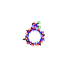 C/C=C/C[C@@H](C)[C@@H](O)[C@@H]1C(=O)N[C@@H](CC)C(=O)N(C)CC(=O)N(C)[C@H](CC(C)C)C(=O)N[C@@H](C(C)C)C(=O)N(C)[C@H](CC(C)C)C(=O)N[C@H](C)C(=O)N[C@H](C)C(=O)N(C)[C@H](CC(C)C)C(=O)N(C)[C@H](CC(C)C)C(=O)N(C)[C@H](C(C)C)C(=O)N1C.O=P1(N(CCCl)CCCl)NCCCO1